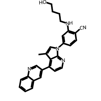 Cc1cn(-c2ccc(C#N)c(NCCCCO)c2)c2nccc(-c3cnc4ccccc4c3)c12